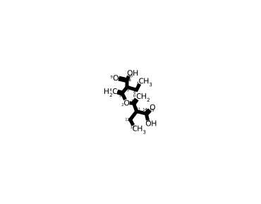 C=C(OC(=C)C(CC)C(=O)O)C(CC)C(=O)O